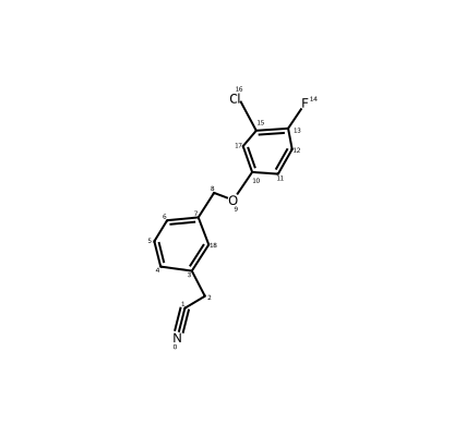 N#CCc1cccc(COc2ccc(F)c(Cl)c2)c1